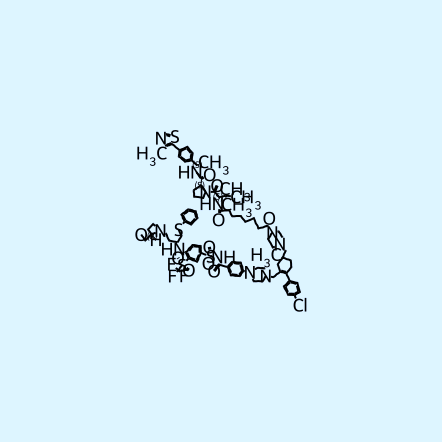 Cc1ncsc1-c1ccc([C@H](C)NC(=O)[C@@H]2CCCN2C(=O)[C@@H](NC(=O)CCCCCCC(=O)N2CCN(CC3(C)CCC(c4ccc(Cl)cc4)=C(CN4CCN(c5ccc(C(=O)NS(=O)(=O)c6ccc(NC(CCN7CC8OC[C@H]87)CSc7ccccc7)c(S(=O)(=O)C(F)(F)F)c6)cc5)CC4)C3)CC2)C(C)(C)C)cc1